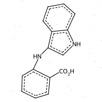 O=C(O)c1ccccc1Nc1c[nH]c2ccccc12